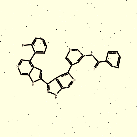 O=C(Nc1cncc(-c2cc3c(-c4cc5c(-c6ccccc6F)cncc5[nH]4)n[nH]c3cn2)c1)c1ccccc1